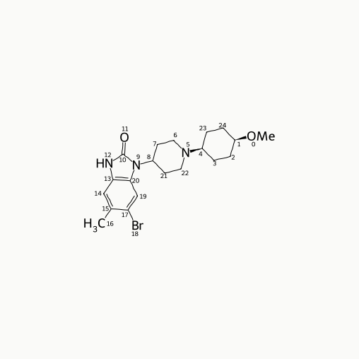 CO[C@H]1CC[C@@H](N2CCC(n3c(=O)[nH]c4cc(C)c(Br)cc43)CC2)CC1